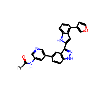 CC(C)C(=O)Nc1cncc(-c2ccc3[nH]nc(-c4cc5c(-c6ccoc6)cccc5[nH]4)c3c2)c1